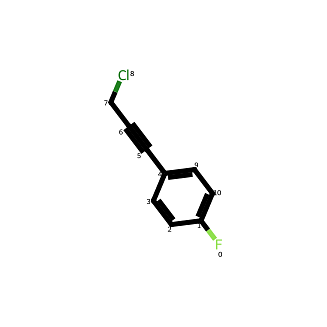 Fc1ccc(C#CCCl)cc1